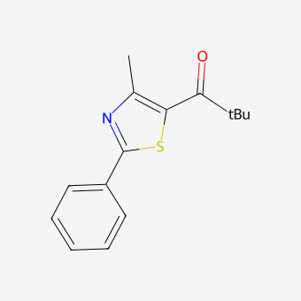 Cc1nc(-c2ccccc2)sc1C(=O)C(C)(C)C